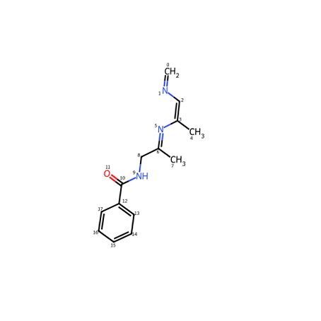 C=N/C=C(C)\N=C(/C)CNC(=O)c1ccccc1